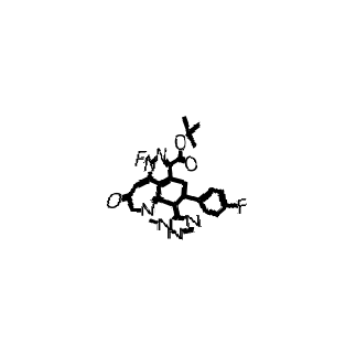 Cn1ncnc1C1C2=NCC(=O)C=C3C2=C(CC1c1ccc(F)cc1)C(C(=O)OC(C)(C)C)=NN3F